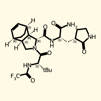 CC(C)(C)[C@H](NC(=O)C(F)(F)F)C(=O)N1C[C@@H]2[C@@H]([C@@H]3C=C[C@H]2CC3)[C@@H]1C(=O)N[C@@H](C[C@@H]1CCNC1=O)C(N)=O